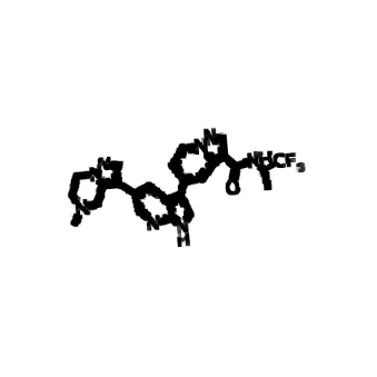 C[C@@H](NC(=O)c1cnn2ccc(-c3c[nH]c4ncc(-c5cnn6c5CN(C)CC6)cc34)cc12)C(F)(F)F